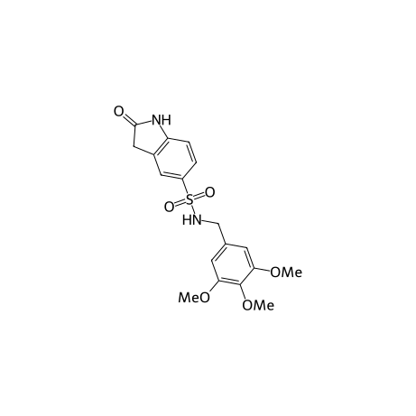 COc1cc(CNS(=O)(=O)c2ccc3c(c2)CC(=O)N3)cc(OC)c1OC